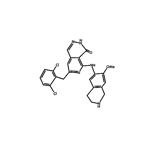 COc1cc2c(cc1Nc1nc(Cc3c(Cl)cccc3Cl)cc3cn[nH]c(=O)c13)CCNC2